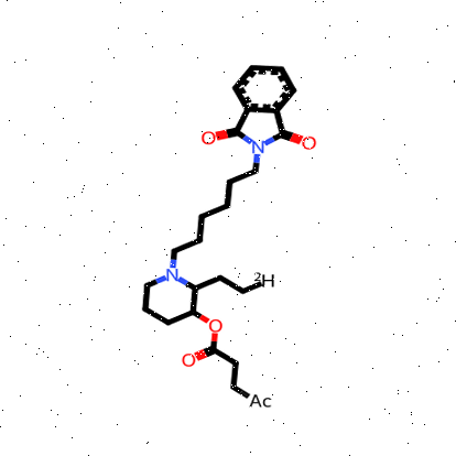 [2H]CCC1C(OC(=O)CCC(C)=O)CCCN1CCCCCCN1C(=O)c2ccccc2C1=O